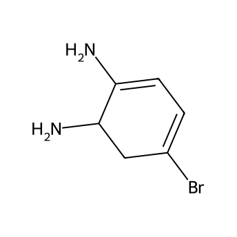 NC1=CC=C(Br)CC1N